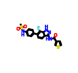 CS(=O)(=O)Nc1ccc(C2=C(F)C3NN=C(NC(=O)c4ccsc4)C3C=C2)cc1